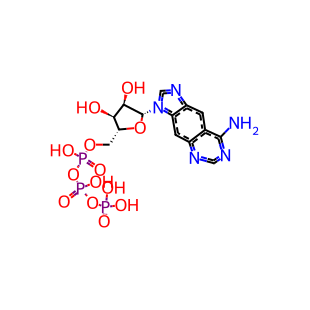 Nc1ncnc2cc3c(cc12)ncn3[C@@H]1O[C@H](COP(=O)(O)OP(=O)(O)OP(=O)(O)O)[C@@H](O)[C@H]1O